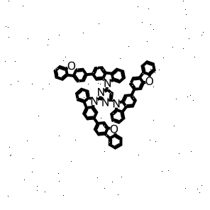 c1ccc2c(c1)oc1cc(-c3ccc4c5ccccc5n(-c5cc(-n6c7ccccc7c7ccc(-c8ccc9c(c8)oc8ccccc89)cc76)nc(-n6c7ccccc7c7ccc(-c8ccc9c(c8)oc8ccccc89)cc76)n5)c4c3)ccc12